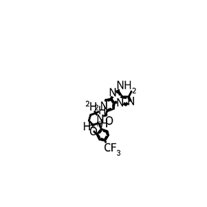 [2H]C1([2H])CC[C@@H]2Oc3cc(C(F)(F)F)ccc3[C@@H]2N1C(=O)c1cc2c(cn1)nc(N)c1c(C)ncn12